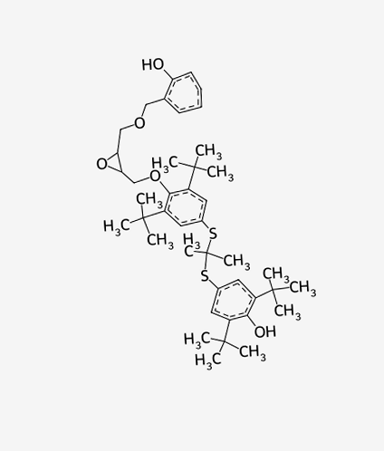 CC(C)(Sc1cc(C(C)(C)C)c(O)c(C(C)(C)C)c1)Sc1cc(C(C)(C)C)c(OCC2OC2COCc2ccccc2O)c(C(C)(C)C)c1